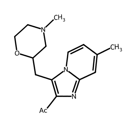 CC(=O)c1nc2cc(C)ccn2c1CC1CN(C)CCO1